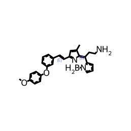 Bn1cccc1/C(CCN)=C1N=C(/C=C/c2cccc(Oc3ccc(OC)cc3)c2)C=C\1C